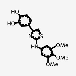 COc1cc(Nc2nc(-c3ccc(O)c(O)c3)cs2)cc(OC)c1OC